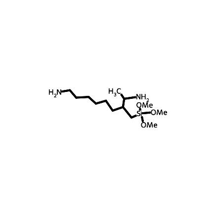 CO[Si](CC(CCCCCCN)C(C)N)(OC)OC